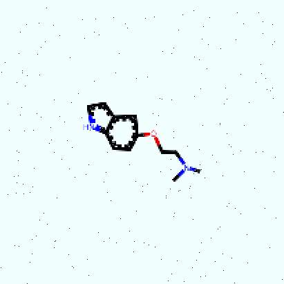 CN(C)CCOc1ccc2[nH]c[c]c2c1